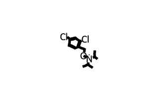 CC(C)[N+](OCc1ccc(Cl)cc1Cl)C(C)C